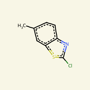 Cc1ccc2nc(Cl)sc2c1